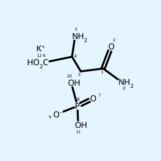 NC(=O)CC(N)C(=O)O.O=P([O-])(O)O.[K+]